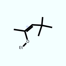 CCO/C(C)=C\C(C)(C)C